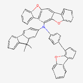 CC1(C)c2ccccc2-c2ccc(N(c3ccc(-c4cccc5c4oc4ccccc45)cc3)c3c4oc5ccccc5c4cc4oc5ccccc5c34)cc21